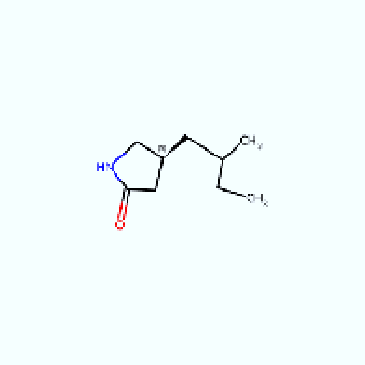 CCC(C)C[C@@H]1CNC(=O)C1